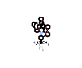 CC(C)(C)c1ccc(N(c2ccccc2-c2cccc3cccc(-c4ccccc4)c23)c2ccc3cc2c2cccc4c5ccccc5n(c5cccc3c5)c24)c(-c2ccccc2)c1